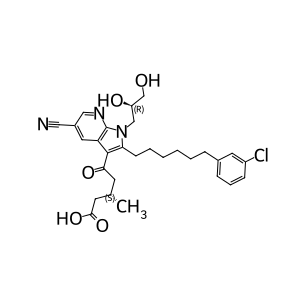 C[C@H](CC(=O)O)CC(=O)c1c(CCCCCCc2cccc(Cl)c2)n(C[C@@H](O)CO)c2ncc(C#N)cc12